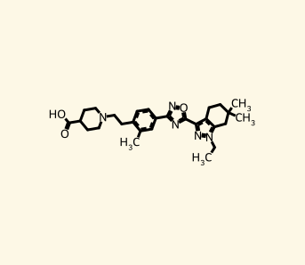 CCn1nc(-c2nc(-c3ccc(CCN4CCC(C(=O)O)CC4)c(C)c3)no2)c2c1CC(C)(C)CC2